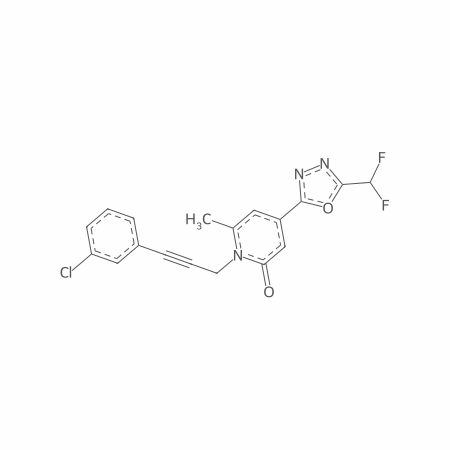 Cc1cc(-c2nnc(C(F)F)o2)cc(=O)n1CC#Cc1cccc(Cl)c1